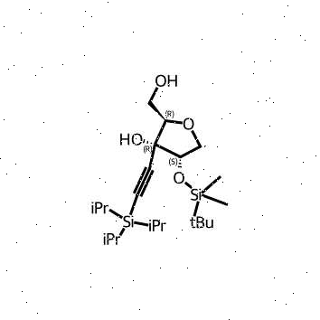 CC(C)[Si](C#C[C@]1(O)[C@@H](O[Si](C)(C)C(C)(C)C)[CH]O[C@@H]1CO)(C(C)C)C(C)C